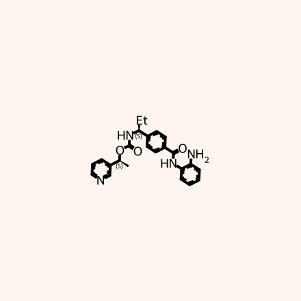 CC[C@H](NC(=O)O[C@@H](C)c1cccnc1)c1ccc(C(=O)Nc2ccccc2N)cc1